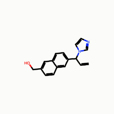 C=CC(c1ccc2cc(CO)ccc2c1)n1ccnc1